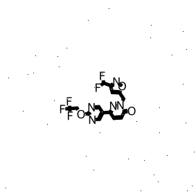 O=c1ccc(-c2cnc(OCC(F)(F)F)nc2)nn1Cc1cc(C(F)F)no1